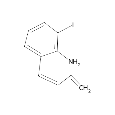 C=C/C=C\c1cccc(I)c1N